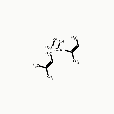 CC=C(C)C.CC=C(C)C.O=C(O)O.O=C(O)O